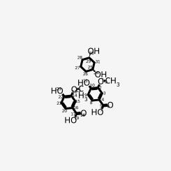 COc1cc(C(=O)O)ccc1O.COc1cc(C(=O)O)ccc1O.O[C@H]1CCC[C@H](O)C1